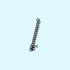 CC(=O)CCOCCOCCOCCOCCOCCOCCOCCOCCOCCOCCOCCOCCNC(=O)CCN1C(=O)CC(C)C1=O